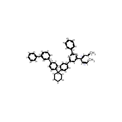 C=C/C=C(\C=C/C)c1cc(-c2ccc(C3(c4ccc(-c5cccc(-c6ccccc6)c5)cc4)CCCCC3)cc2)nc(-c2ccccc2)n1